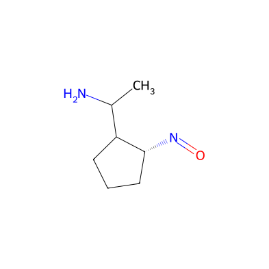 CC(N)C1CCC[C@H]1N=O